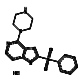 Cl.O=S(=O)(c1ccccc1)c1cc2c(N3CCNCC3)nccc2s1